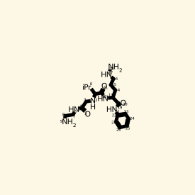 CC(C)C(NCC(=O)NCCN)C(=O)NC(CCCNN)C(=O)Nc1ccccc1